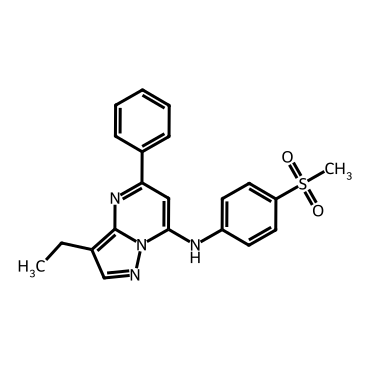 CCc1cnn2c(Nc3ccc(S(C)(=O)=O)cc3)cc(-c3ccccc3)nc12